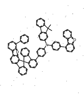 CC1(C)c2ccccc2-c2ccc(N(c3ccc(-c4cccc5c4-c4ccccc4C54c5ccccc5-c5ccc6c(oc7c(-c8ccccc8)cccc76)c54)cc3)c3ccc(-c4cccc5oc6ccccc6c45)cc3)cc21